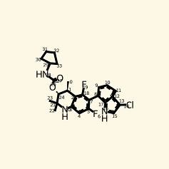 C[C@H]1c2c(cc(F)c(-c3cccc4c(Cl)c[nH]c34)c2F)NC(C)(C)[C@@H]1OC(=O)NC1CCCC1